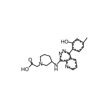 Cc1ccc(-c2nnc(NC3CCCN(CC(=O)O)C3)c3ncccc23)c(O)c1